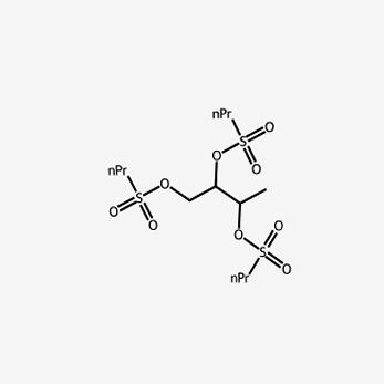 CCCS(=O)(=O)OCC(OS(=O)(=O)CCC)C(C)OS(=O)(=O)CCC